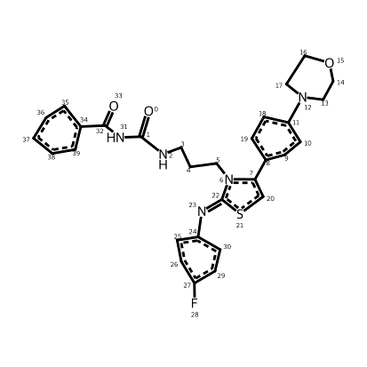 O=C(NCCCn1c(-c2ccc(N3CCOCC3)cc2)cs/c1=N\c1ccc(F)cc1)NC(=O)c1ccccc1